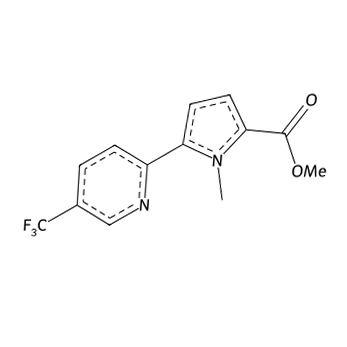 COC(=O)c1ccc(-c2ccc(C(F)(F)F)cn2)n1C